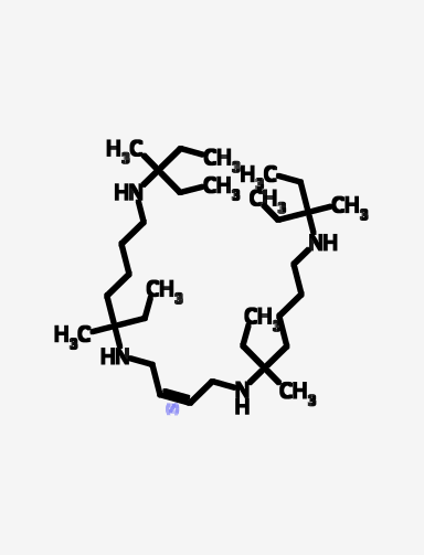 CCC(C)(CC)NCCCCC(C)(CC)NC/C=C\CNC(C)(CC)CCCCNC(C)(CC)CC